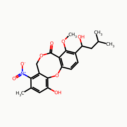 COc1c(C(O)CC(C)C)ccc2c1C(=O)OCc1c(c(O)cc(C)c1[N+](=O)[O-])O2